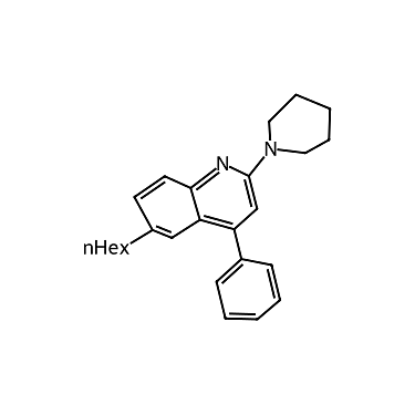 CCCCCCc1ccc2nc(N3CCCCC3)cc(-c3ccccc3)c2c1